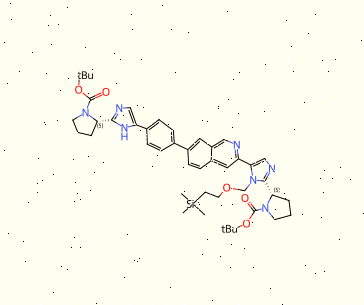 CC(C)(C)OC(=O)N1CCC[C@H]1c1ncc(-c2ccc(-c3ccc4cc(-c5cnc([C@@H]6CCCN6C(=O)OC(C)(C)C)n5COCC[Si](C)(C)C)ncc4c3)cc2)[nH]1